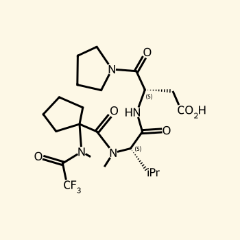 CC(C)[C@@H](C(=O)N[C@@H](CC(=O)O)C(=O)N1CCCC1)N(C)C(=O)C1(N(C)C(=O)C(F)(F)F)CCCC1